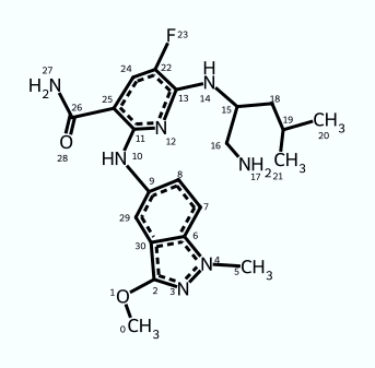 COc1nn(C)c2ccc(Nc3nc(NC(CN)CC(C)C)c(F)cc3C(N)=O)cc12